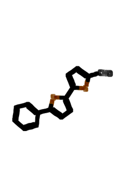 O=Cc1ccc(-c2ccc(-c3ccccc3)s2)s1